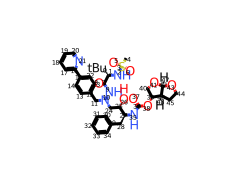 CC(C)(C)[C@H](NS(C)(=O)=O)C(=O)NN(Cc1ccc(-c2ccccn2)cc1)C[C@H](O)[C@H](Cc1ccccc1)NC(=O)O[C@H]1CO[C@H]2OCC[C@H]21